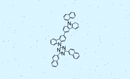 C1=Cc2c(n(-c3cccc4ccccc34)c3ccc(-c4ccc5c(c4)c4ccccc4n5-c4nc(-c5ccc6ccccc6c5)nc(-c5ccc6ccccc6c5)n4)cc23)CC1